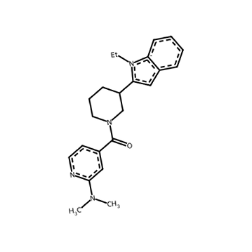 CCn1c(C2CCCN(C(=O)c3ccnc(N(C)C)c3)C2)cc2ccccc21